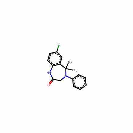 CCCCC1(C(F)(F)F)c2cc(Cl)ccc2NC(=O)CN1c1ccccc1